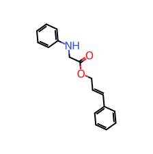 O=C(CNc1ccccc1)OC/C=C/c1ccccc1